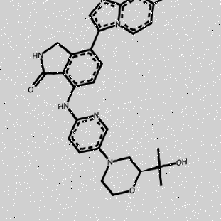 Cc1ccn2c(-c3ccc(Nc4ccc(N5CCO[C@H](C(C)(C)O)C5)cn4)c4c3CNC4=O)cnc2c1